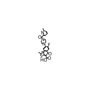 Cc1cccc(C(=O)N2CCN(c3cc4c(cc3F)c(=O)c(C(=O)O)c3n4C(C)S3)CC2)n1